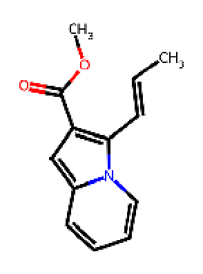 C/C=C/c1c(C(=O)OC)cc2ccccn12